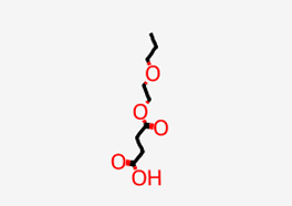 CCCOCCOC(=O)CCC(=O)O